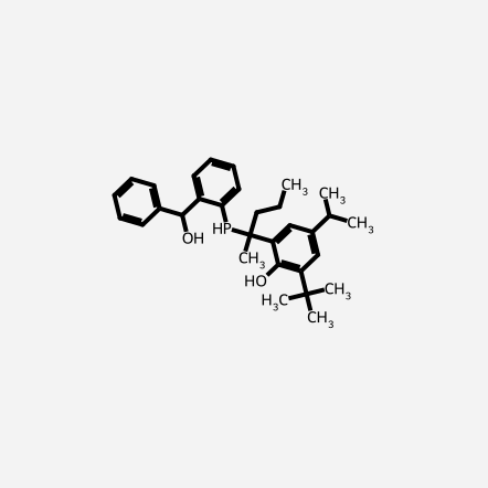 CCCC(C)(Pc1ccccc1C(O)c1ccccc1)c1cc(C(C)C)cc(C(C)(C)C)c1O